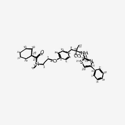 CN(CCOc1ccc(C[C@](C)(Nc2nc(-c3ccccc3)cs2)C(=O)O)cc1)C(=O)C1CCCCC1